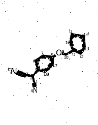 N#CC(C#N)c1ccc(OCc2ccccc2)cc1